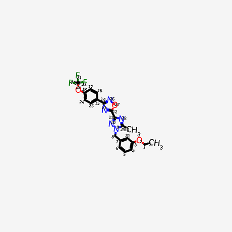 CCOc1cccc(Cn2nc(-c3nc(-c4ccc(OC(F)(F)F)cc4)no3)nc2C)c1